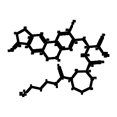 CCCCOC(=O)N1CCCO[C@H](C(=O)N[C@@H](Cc2cc3c(cc2F)-c2cc4c(cc2CO3)C(=O)CC4)C(N)=O)C1